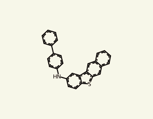 c1ccc(-c2ccc(Nc3ccc4sc5cc6ccccc6cc5c4c3)cc2)cc1